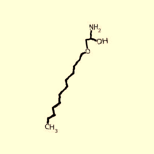 CCCCCCCCCCCCOCC(N)O